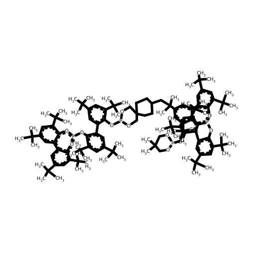 CC1(C)COP(Oc2c(-c3cc(C(C)(C)C)cc(C(C)(C)C)c3Op3oc4c(C(C)(C)C)cc(C(C)(C)C)cc4c4cc(C(C)(C)CC5CCC6(CC5)COP(Oc5c(-c7cc(C(C)(C)C)cc(C(C)(C)C)c7Op7oc8c(C(C)(C)C)cc(C(C)(C)C)cc8c8cc(C(C)(C)C)cc(C(C)(C)C)c8o7)cc(C(C)(C)C)cc5C(C)(C)C)OC6)cc(C(C)(C)C)c4o3)cc(C(C)(C)C)cc2C(C)(C)C)OC1